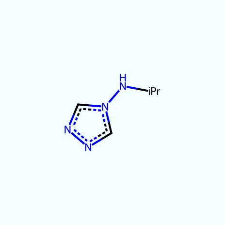 CC(C)Nn1cnnc1